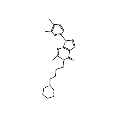 Cc1ccc(-n2ncc3c(=O)n(OCCCN4CCCCC4)c(C)nc32)cc1C